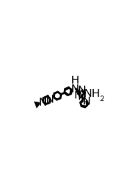 Nc1nc(Nc2ccc(C3CCC(N4CCN(C5CC5)CC4)CC3)cc2)nn1-c1ccccn1